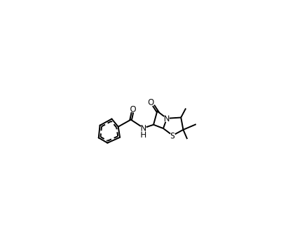 CC1N2C(=O)C(NC(=O)c3ccccc3)C2SC1(C)C